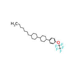 CCCCCCCC1CCC(C2CCC(c3ccc(OC(F)(F)C(F)(F)F)cc3)CC2)CC1